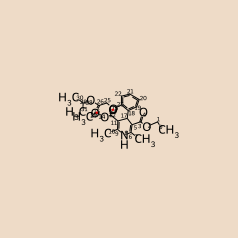 CCOC(=O)C1=C(C)NC(C)=C(C(=O)OCC)C1c1ccccc1OCC(=O)OC(C)C